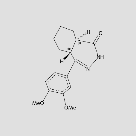 COc1ccc(C2=NNC(=O)[C@@H]3CCCC[C@@H]23)cc1OC